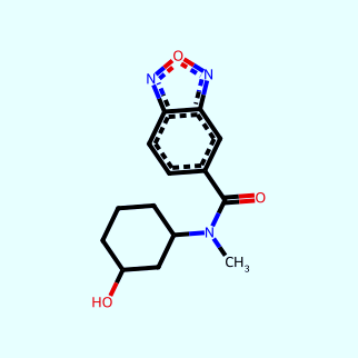 CN(C(=O)c1ccc2nonc2c1)C1CCCC(O)C1